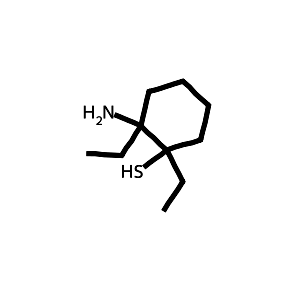 CCC1(N)CCCCC1(S)CC